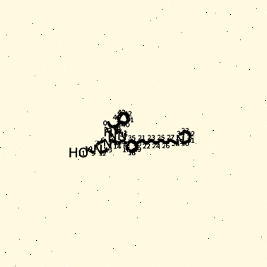 Cc1nn2c(N3CCN(CCO)CC3)cc(-c3cccc(CCCCCCCCN4CCCCC4)c3)nc2c1-c1ccccc1